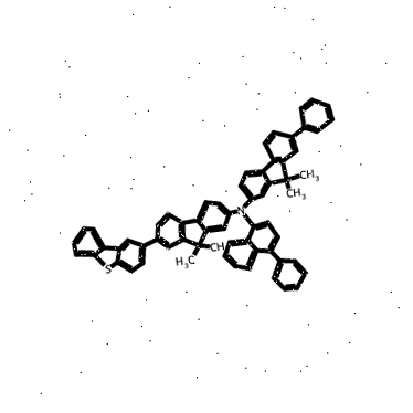 CC1(C)c2cc(-c3ccccc3)ccc2-c2ccc(N(c3ccc4c(c3)C(C)(C)c3cc(-c5ccc6sc7ccccc7c6c5)ccc3-4)c3ccc(-c4ccccc4)c4ccccc34)cc21